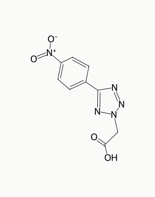 O=C(O)Cn1nnc(-c2ccc([N+](=O)[O-])cc2)n1